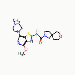 COc1ncc(N2CCN(C)CC2)c2sc(NC(=O)N3CCC4(CCOCC4)C3)nc12